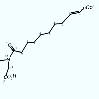 CCCCCCCC/C=C/CCCCCCCC(=O)N(C)CC(=O)O